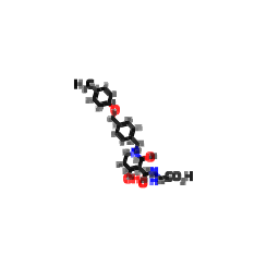 Cc1ccc(OCc2ccc(CN3CCC(O)=C(C(=O)NCC(=O)O)C3=O)cc2)cc1